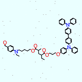 CCC(CC(C)C(=O)OCCCCCN(CC)c1ccc(C=O)cc1)C(=O)OCCCOc1ccc(N(c2ccccc2)c2ccc(-c3ccc(N(c4ccccc4)c4ccccc4)cc3)cc2)cc1